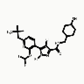 CCn1nc(C(=O)NCC2CCC(S)CC2)c(Cl)c1-c1ccc(CC(C)(C)C(F)(F)F)nc1OC(F)F